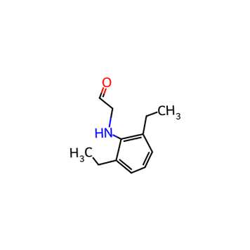 CCc1cccc(CC)c1NCC=O